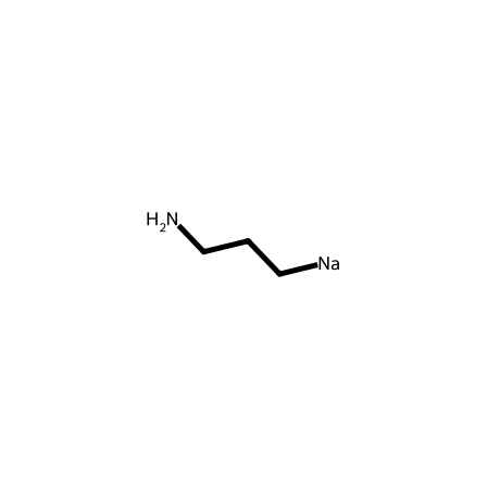 NCC[CH2][Na]